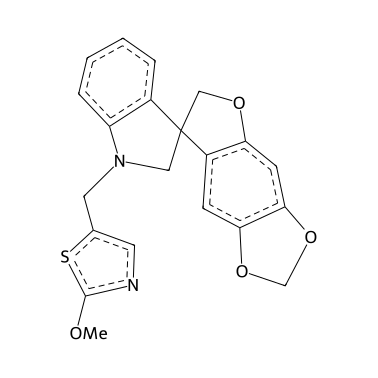 COc1ncc(CN2CC3(COc4cc5c(cc43)OCO5)c3ccccc32)s1